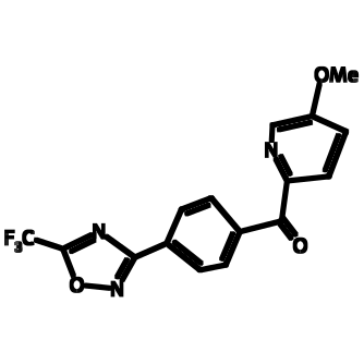 COc1ccc(C(=O)c2ccc(-c3noc(C(F)(F)F)n3)cc2)nc1